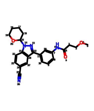 COCCC(=O)Nc1cccc(-c2nn(C3CCCCO3)c3ccc(C#N)cc23)c1